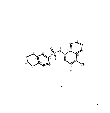 O=S(=O)(Nc1cc(Cl)c(O)c2ccccc12)c1ccc2c(c1)CCCC2